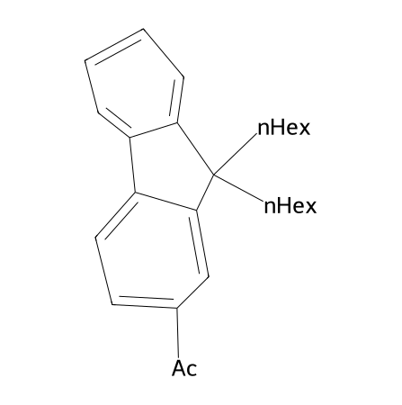 CCCCCCC1(CCCCCC)c2ccccc2-c2ccc(C(C)=O)cc21